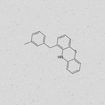 Cc1cccc(Cc2cccc3c2Nc2ccccc2S3)c1